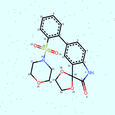 O=C1Nc2ccc(-c3ccccc3S(=O)(=O)N3CCOCC3)cc2C12OCCO2